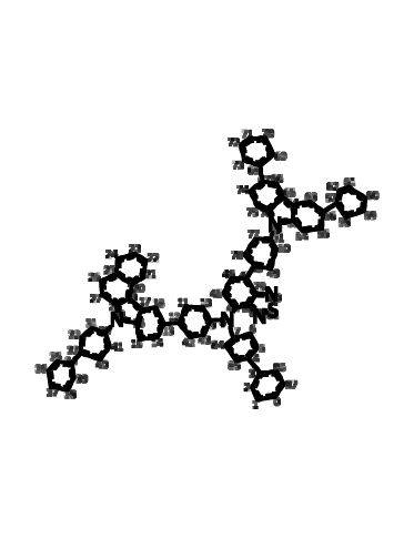 c1ccc(-c2ccc(N(c3ccc(-c4ccc5c(c4)c4c6ccccc6ccc4n5-c4ccc(-c5ccccc5)cc4)cc3)c3ccc(-c4ccc(-n5c6ccc(-c7ccccc7)cc6c6cc(-c7ccccc7)ccc65)cc4)c4nsnc34)cc2)cc1